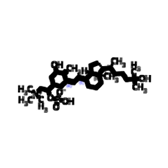 C=C1/C(=C\C=C2/CCC[C@]3(C)[C@@H]([C@H](C)CCCC(C)(C)O)CC[C@@H]23)CC(C(C[N+](C)(C)C)OP(=O)([O-])O)CC1O